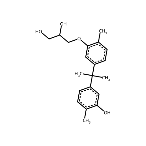 Cc1ccc(C(C)(C)c2ccc(C)c(OCC(O)CO)c2)cc1O